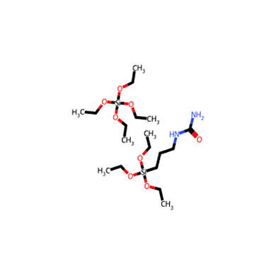 CCO[Si](CCCNC(N)=O)(OCC)OCC.CCO[Si](OCC)(OCC)OCC